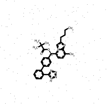 CCCCc1cn2c([C@H](OC(=O)C(C)(C)C)c3ccc(-c4ccccc4-c4nnn[nH]4)cc3)ccc(C)c2n1